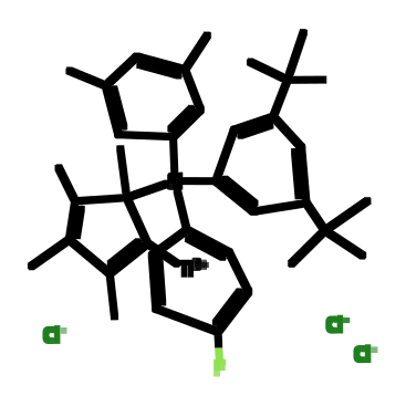 CC1=C(C)C(C)([Si](c2ccc(F)cc2)(c2cc(C)cc(C)c2)c2cc(C(C)(C)C)cc(C(C)(C)C)c2)[C]([Ti+3])=C1C.[Cl-].[Cl-].[Cl-]